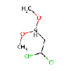 CO[SiH](CC(Cl)Cl)OC